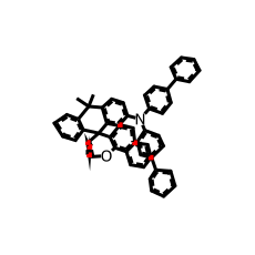 CC1(C)c2ccccc2C2(c3ccccc3Oc3c2ccc2ccccc32)c2cc(N(c3ccc(-c4ccccc4)cc3)c3ccc(-c4ccccc4)cc3)ccc21